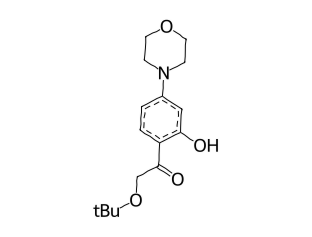 CC(C)(C)OCC(=O)c1ccc(N2CCOCC2)cc1O